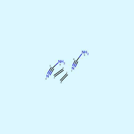 C=C.C=C.N#CN.N#CN